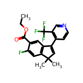 CCOC(=O)c1cc2c(cc1F)C(C)(C)C=C2c1ccncc1C(F)(F)F